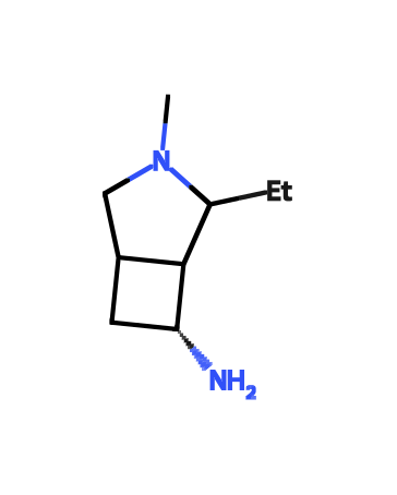 CCC1C2C(C[C@H]2N)CN1C